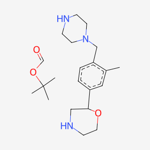 CC(C)(C)OC=O.Cc1cc(C2CNCCO2)ccc1CN1CCNCC1